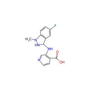 CN1NC(Nc2cnccc2C(=O)O)c2cc(F)ccc21